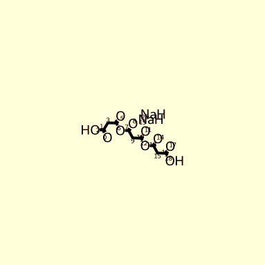 O=C(O)CC(=O)OC(=O)CC(=O)OC(=O)CC(=O)O.[NaH].[NaH]